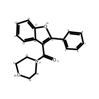 O=C(c1c(-c2ccccc2)oc2ccccc12)N1CCOCC1